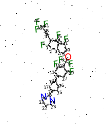 Fc1cc2cc(OC(F)(F)c3c(F)cc(-c4ccc(-c5ncccn5)cc4)cc3F)cc(F)c2c(F)c1C#CC(F)(F)F